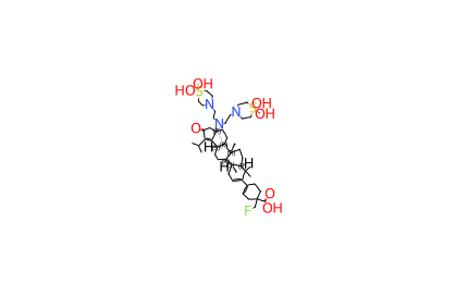 CC(C)C1=C2[C@H]3CC[C@@H]4[C@@]5(C)CC=C(C6=CCC(CF)(C(=O)O)CC6)C(C)(C)[C@@H]5CC[C@@]4(C)[C@]3(C)CC[C@@]2(N(CCN2CCS(O)(O)CC2)CCN2CCS(O)(O)CC2)CC1=O